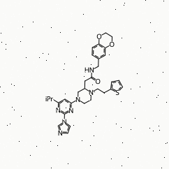 CC(C)c1cc(N2CCN(CCc3cccs3)C(CC(=O)NCc3ccc4c(c3)OCCO4)C2)nc(-n2ccnc2)n1